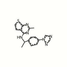 Cc1nc(NC(C)c2ccc(-n3cncn3)cc2)c2ccsc2n1